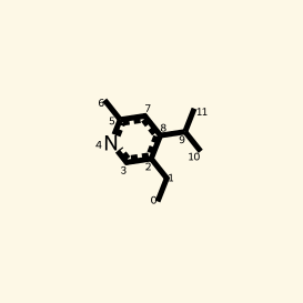 CCc1cnc(C)cc1C(C)C